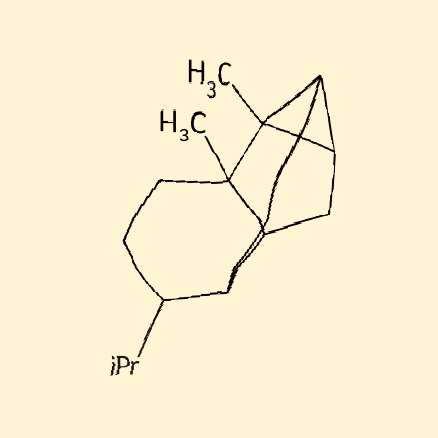 CC(C)C1CCC2(C)C3CC4C(C13)C42C